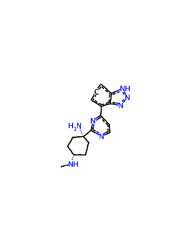 CN[C@H]1CC[C@](N)(c2nccc(-c3cccc4[nH]nnc34)n2)CC1